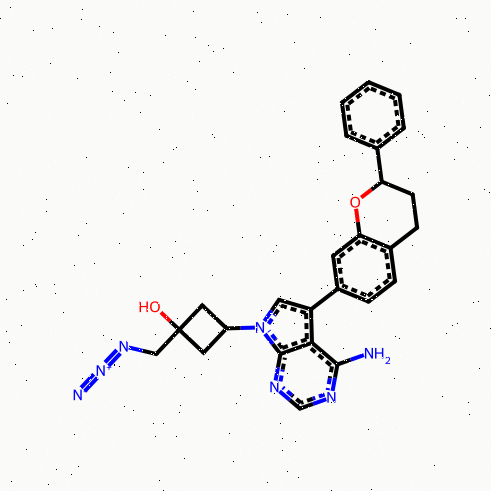 [N-]=[N+]=NCC1(O)CC(n2cc(-c3ccc4c(c3)OC(c3ccccc3)CC4)c3c(N)ncnc32)C1